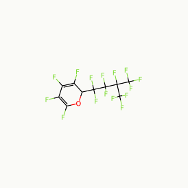 FC1=C(F)C(F)=C(F)C(C(F)(F)C(F)(F)C(F)(C(F)(F)F)C(F)(F)F)O1